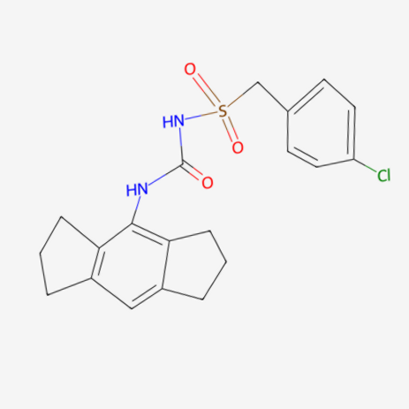 O=C(Nc1c2c(cc3c1CCC3)CCC2)NS(=O)(=O)Cc1ccc(Cl)cc1